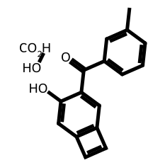 Cc1cccc(C(=O)c2cc3c(cc2O)C=C3)c1.O=C(O)O